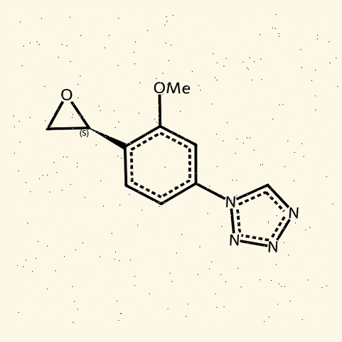 COc1cc(-n2cnnn2)ccc1[C@H]1CO1